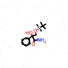 CC(C)(C)[Si](C)(C)OC[C@](O)(C(N)=O)c1ccccc1